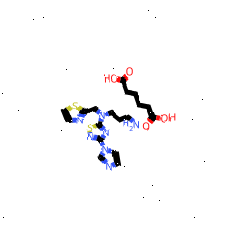 NCCCN(Cc1nccs1)c1nc(-n2ccnc2)ns1.O=C(O)CCCCC(=O)O